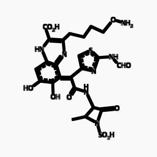 CC1C(NC(=O)C(c2csc(NC=O)n2)=c2c(O)c(O)cc3c2=NC(CCCCON)=C(C(=O)O)N3)C(=O)N1S(=O)(=O)O